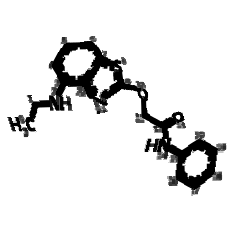 CCNc1cccc2sc(OCC(=O)Nc3ccccc3)nc12